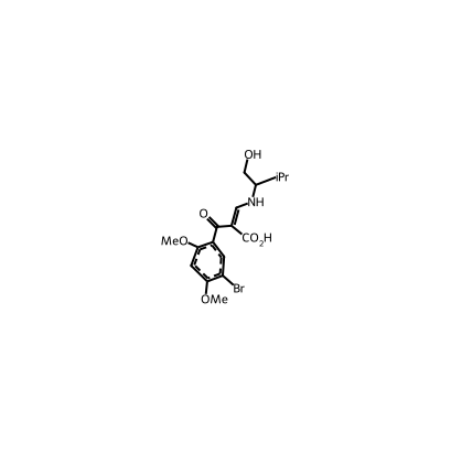 COc1cc(OC)c(C(=O)/C(=C/NC(CO)C(C)C)C(=O)O)cc1Br